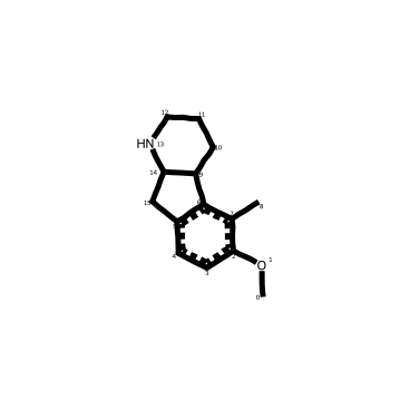 COc1ccc2c(c1C)C1CCCNC1C2